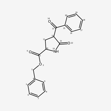 O=C(OCc1ccccc1)C1CC(C(=O)c2ccccc2)C(=O)N1